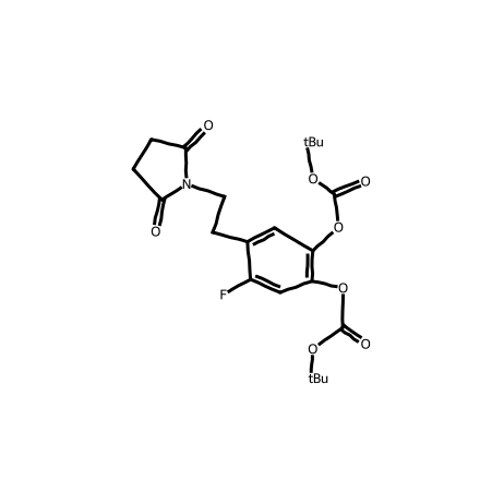 CC(C)(C)OC(=O)Oc1cc(F)c(CCN2C(=O)CCC2=O)cc1OC(=O)OC(C)(C)C